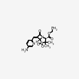 CC1(C)[C@H](C(=O)OCP)N2C(=O)/C(=C/c3ccc(N)cn3)[C@H]2S1(=O)=O